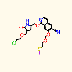 N#Cc1cc2ccnc(OCC3CC(COCCCl)C(=O)N3)c2cc1OCOCCSI